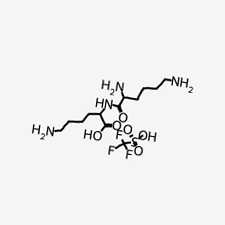 NCCCCC(N)C(=O)NC(CCCCN)C(=O)O.O=S(=O)(O)C(F)(F)F